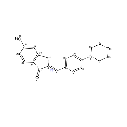 O=C1/C(=C/c2ccc(N3CCOCC3)cc2)Cc2cc(O)ccc21